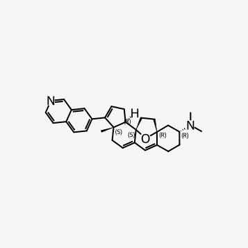 CN(C)[C@@H]1CCC2=CC3=CC[C@]4(C)C(c5ccc6ccncc6c5)=CC[C@H]4[C@@]34CC[C@]2(C1)O4